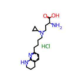 Cl.N[C@@H](CCN(CCCCc1ccc2c(n1)NCCC2)C1CC1)C(=O)O